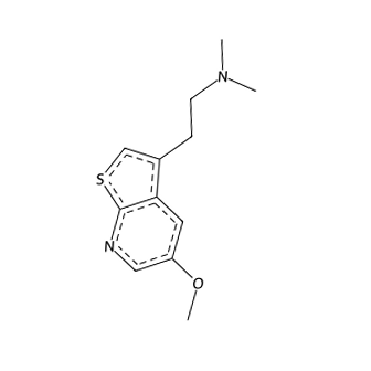 COc1cnc2scc(CCN(C)C)c2c1